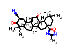 Cc1noc([C@]23CCC(C)(C)CC2[C@@H]2C(=O)C=C4[C@@]5(C)C=C(C#N)C(=O)C(C)(C)[C@@H]5CC[C@@]4(C)[C@]2(C)CC3)n1